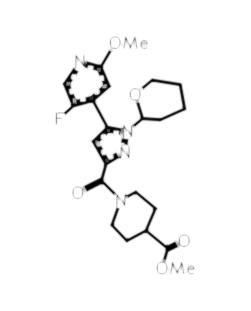 COC(=O)C1CCN(C(=O)c2cc(-c3cc(OC)ncc3F)n(C3CCCCO3)n2)CC1